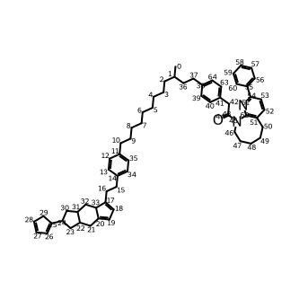 CC(CCCCCCCCCc1ccc(CCC2=CC=C3CC4CC(C5=CC=CC5)CC4CC23)cc1)CCc1ccc(CC(=O)N2CCCCCc3ccc(-c4ccccc4)nc32)cc1